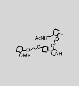 COc1ccccc1COCCCOc1ccc([C@H]2CCNC[C@@H]2OCCOc2c(C)cccc2CCNC(C)=O)cc1